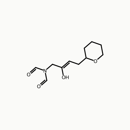 O=CN(C=O)C/C(O)=C/CC1CCCCO1